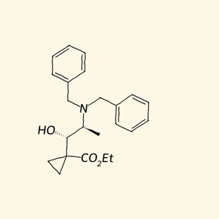 CCOC(=O)C1([C@H](O)[C@H](C)N(Cc2ccccc2)Cc2ccccc2)CC1